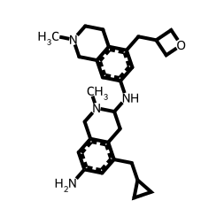 CN1CCc2c(CC3COC3)cc(NC3Cc4c(CC5CC5)cc(N)cc4CN3C)cc2C1